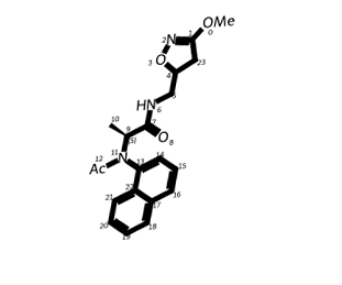 COC1=NOC(CNC(=O)[C@H](C)N(C(C)=O)c2cccc3ccccc23)C1